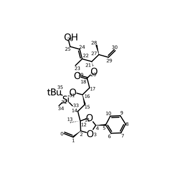 C=C[C@@H]1O[C@H](c2ccccc2)O[C@]1(C)CC[C@H](CC(=O)O[C@H](/C(C)=C/CO)[C@@H](C)C=C)O[Si](C)(C)C(C)(C)C